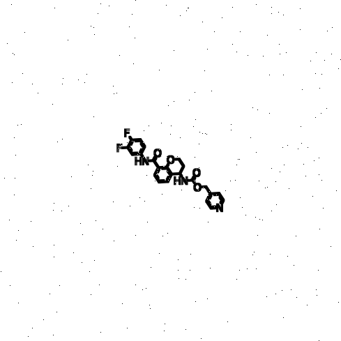 O=C(NC1CCOc2c(C(=O)Nc3ccc(F)c(F)c3)cccc21)OCc1ccncc1